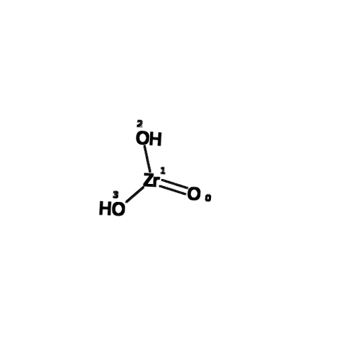 [O]=[Zr]([OH])[OH]